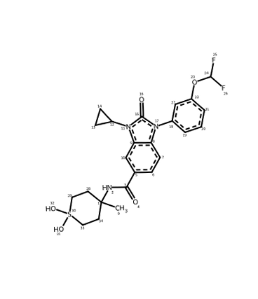 CC1(NC(=O)c2ccc3c(c2)n(C2CC2)c(=O)n3-c2cccc(OC(F)F)c2)CCS(O)(O)CC1